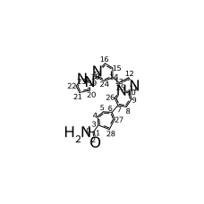 NC(=O)c1ccc(-c2ccc3ncc(-c4ccnc(-n5cccn5)c4)n3c2)cc1